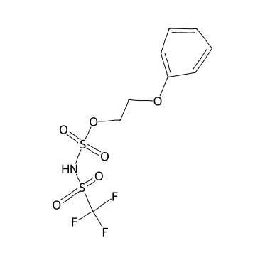 O=S(=O)(NS(=O)(=O)C(F)(F)F)OCCOc1ccccc1